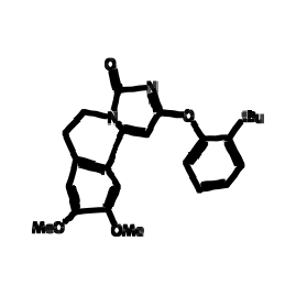 COc1cc2c(cc1OC)-c1cc(Oc3ccccc3C(C)(C)C)nc(=O)n1CC2